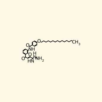 CCCCCCCCCCCCCCCOc1ccc(C(=O)Nc2cccc3c(=O)cc(C(=N)NN)oc23)cc1